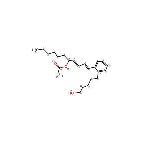 CCCCCCC(C=CC=Cc1ccccc1CCCCCO)OC(C)=O